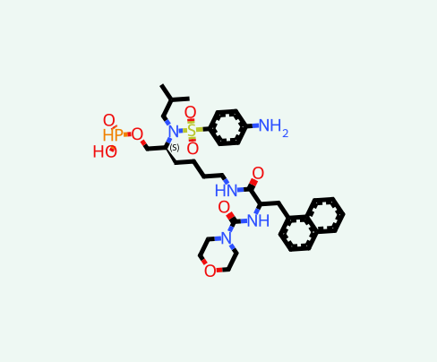 CC(C)CN([C@@H](CCCCNC(=O)C(Cc1cccc2ccccc12)NC(=O)N1CCOCC1)CO[PH](=O)O)S(=O)(=O)c1ccc(N)cc1